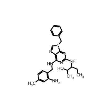 CCC(Nc1nc(NCc2ccc(C)cc2N)c2ncn(Cc3ccccc3)c2n1)C(C)O